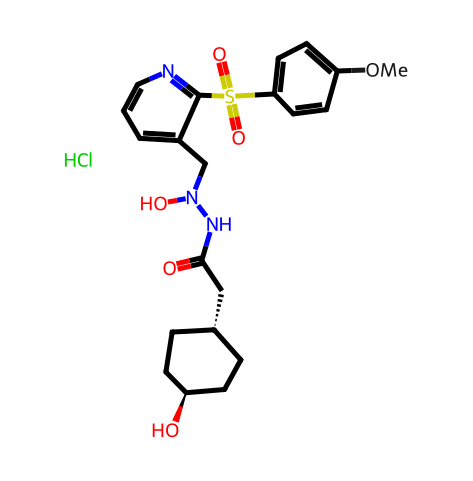 COc1ccc(S(=O)(=O)c2ncccc2CN(O)NC(=O)C[C@H]2CC[C@H](O)CC2)cc1.Cl